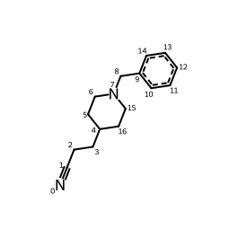 N#CCCC1CCN(Cc2ccccc2)CC1